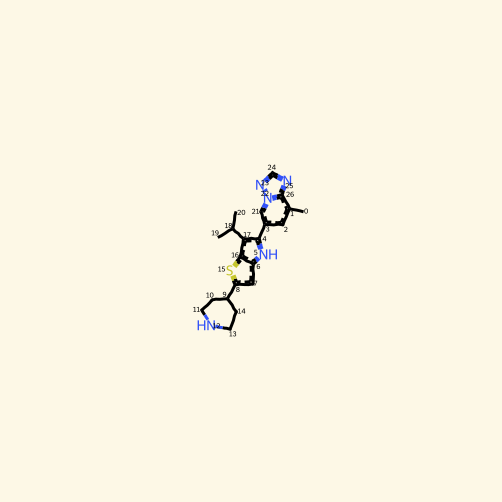 Cc1cc(-c2[nH]c3cc(C4CCNCC4)sc3c2C(C)C)cn2ncnc12